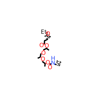 CCO[Si](C)(C)CCC(=O)OC(C)COCC(C)OCC(C)OC(=O)NC[Si](C)(C)C